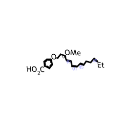 CC/C=C\CC/C=C/C=C\C=C\[C@H](CCOc1ccc(C(=O)O)cc1)OC